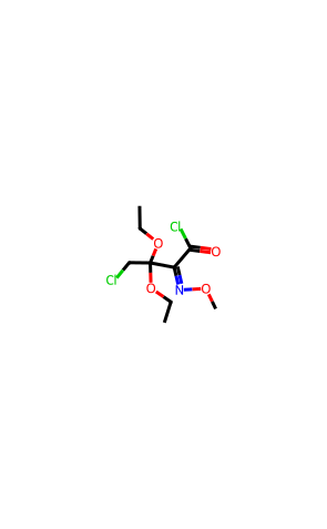 CCOC(CCl)(OCC)C(=NOC)C(=O)Cl